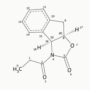 CCC(=O)N1C(=O)O[C@@H]2Cc3ccccc3[C@@H]21